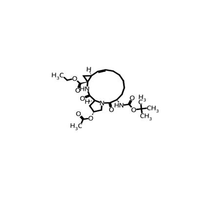 CCOC(=O)[C@@]12C[C@H]1/C=C\CCCCC[C@H](NC(=O)OC(C)(C)C)C(=O)N1C[C@H](OC(C)=O)C[C@H]1C(=O)N2